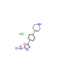 CCNc1nnc(-c2ccc(C3=CCNCC3)cc2)o1.Cl